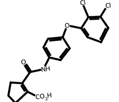 O=C(O)C1=C(C(=O)Nc2ccc(Oc3cccc(Cl)c3Cl)cc2)CCC1